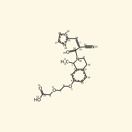 CC1c2cc(OCCOCC(=O)O)ccc2CCN1C(=O)/C(C#N)=C\c1nccs1